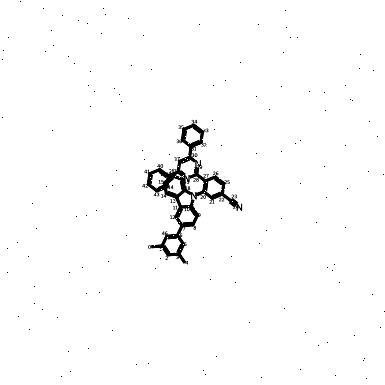 Cc1cc(C)cc(-c2ccc3c(c2)c2ccccc2n3-c2cc(C#N)ccc2-c2nc(-c3ccccc3)cc(-c3ccccc3)n2)c1